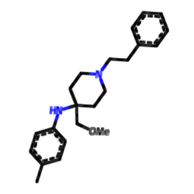 COCC1(Nc2ccc(C)cc2)CCN(CCc2ccccc2)CC1